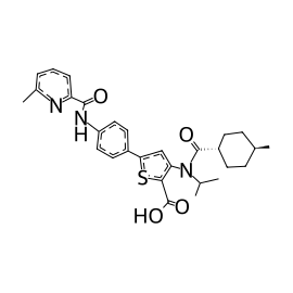 Cc1cccc(C(=O)Nc2ccc(-c3cc(N(C(=O)[C@H]4CC[C@H](C)CC4)C(C)C)c(C(=O)O)s3)cc2)n1